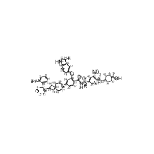 CC(C)c1ccccc1[C@@H]1COCCN1C1CC2(CCN(c3ccc(C(=O)NS(=O)(=O)c4cnc(NCC5CCC(C)(O)CC5)c([N+](=O)[O-])c4)c(Oc4cnc5[nH]cc(F)c5c4)c3)CC2)C1